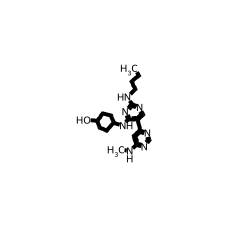 CCCCNc1ncc(-c2cc(NC)ncn2)c(NC2CCC(O)CC2)n1